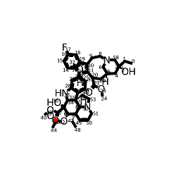 CC[C@]1(O)C[C@@H]2CN(CCc3c([nH]c4ccc(F)cc34)[C@@](C(=O)OC)(c3cc4c(cc3OC)NC3C(O)(C(=O)OC)[C@H](OC(C)=O)[C@]5(CC)C=CCN6CC[C@]43[C@@H]65)C2)C1